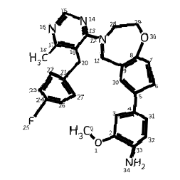 COc1cc(-c2ccc3c(c2)CN(c2ncnc(C)c2Cc2ccc(F)cc2)CCO3)ccc1N